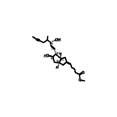 CC#CCC(C)[C@H](O)/C=C/[C@@H]1[C@H]2CC(=CCCCC(=O)OC)C[C@H]2C[C@H]1O